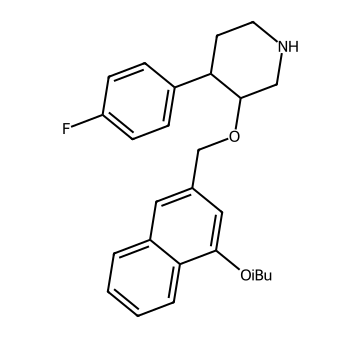 CC(C)COc1cc(COC2CNCCC2c2ccc(F)cc2)cc2ccccc12